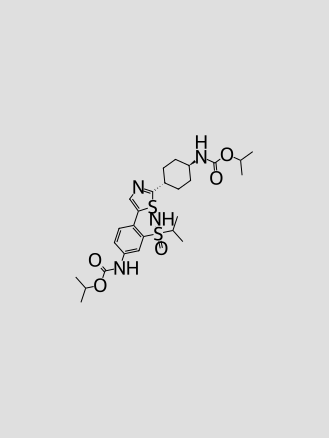 CC(C)OC(=O)Nc1ccc(-c2cnc([C@H]3CC[C@H](NC(=O)OC(C)C)CC3)s2)c(S(=N)(=O)C(C)C)c1